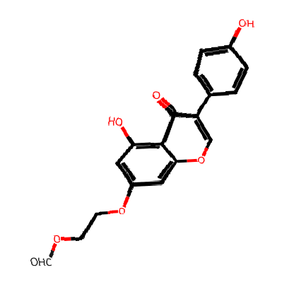 O=COCCOc1cc(O)c2c(=O)c(-c3ccc(O)cc3)coc2c1